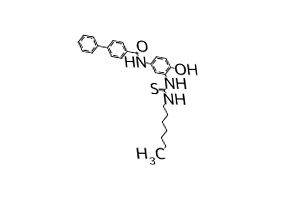 CCCCCCCNC(=S)Nc1cc(NC(=O)c2ccc(-c3ccccc3)cc2)ccc1O